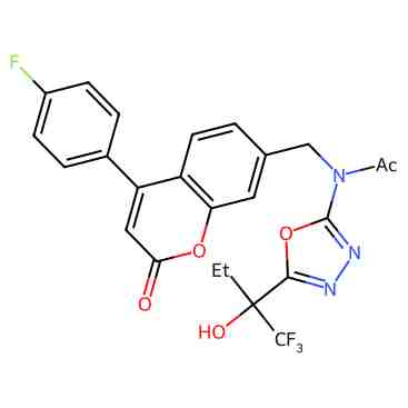 CCC(O)(c1nnc(N(Cc2ccc3c(-c4ccc(F)cc4)cc(=O)oc3c2)C(C)=O)o1)C(F)(F)F